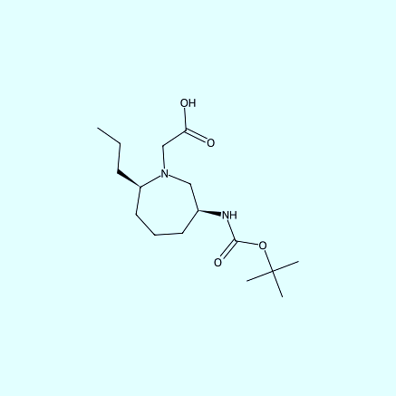 CCC[C@@H]1CCC[C@H](NC(=O)OC(C)(C)C)CN1CC(=O)O